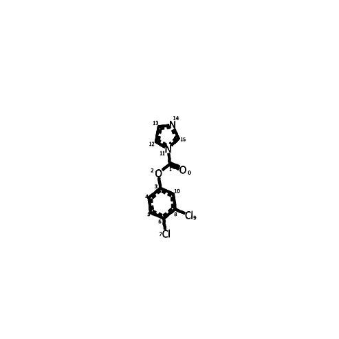 O=C(Oc1ccc(Cl)c(Cl)c1)n1ccnc1